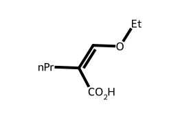 CCCC(=COCC)C(=O)O